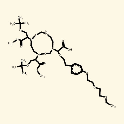 CCOCCOCCOc1ccc(CCCC(C(=O)O)N2CCNCCN(C(COC(C)(C)C)C(=O)OC)CCN(C(COC(C)(C)C)C(=O)OC)CC2)cc1